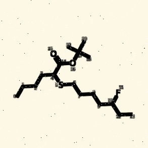 CCCCC(SCCCCC(F)CC)C(=O)OC(C)(C)C